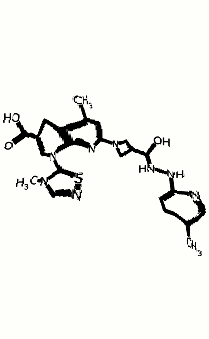 Cc1cc(N2CC(C(O)NNC3=CCC(C)C=N3)C2)nc2c1CC(C(=O)O)=CN2C1SN=CN1C